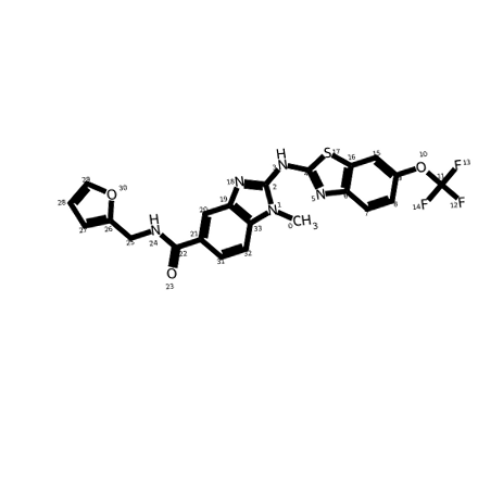 Cn1c(Nc2nc3ccc(OC(F)(F)F)cc3s2)nc2cc(C(=O)NCc3ccco3)ccc21